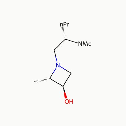 CCC[C@@H](CN1C[C@@H](O)[C@@H]1C)NC